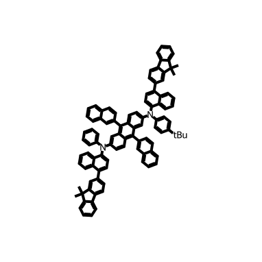 CC(C)(C)c1ccc(N(c2ccc3c(-c4ccc5ccccc5c4)c4cc(N(c5ccccc5)c5ccc(-c6ccc7c(c6)C(C)(C)c6ccccc6-7)c6ccccc56)ccc4c(-c4ccc5ccccc5c4)c3c2)c2ccc(-c3ccc4c(c3)C(C)(C)c3ccccc3-4)c3ccccc23)cc1